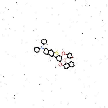 c1ccc(N(c2ccccc2)c2ccc3cc4c(cc3c2)sc2c3c5c(cc24)Oc2ccc4ccccc4c2B5c2c(ccc4ccccc24)O3)cc1